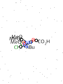 CCCCn1cc(-c2ccc(Cl)cc2Cl)nc1[C@H](Cc1ccc(Oc2ccc(C(=O)O)cc2)cc1)NC(=O)Cc1cc(OC)c(OC)c(OC)c1